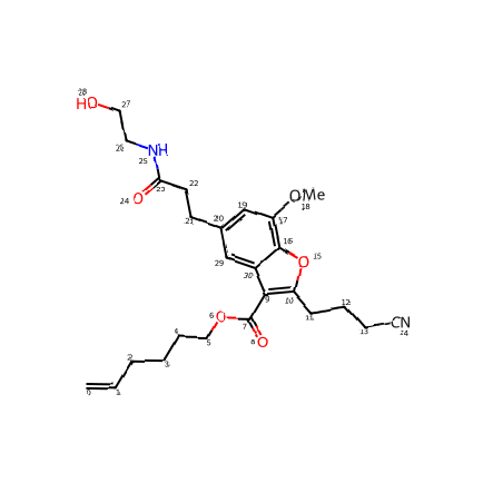 C=CCCCCOC(=O)c1c(CCCC#N)oc2c(OC)cc(CCC(=O)NCCO)cc12